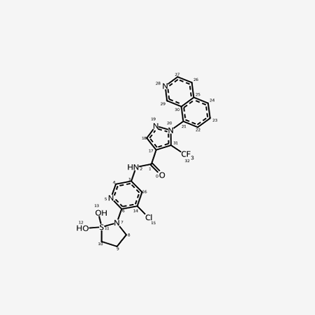 O=C(Nc1cnc(N2CCCS2(O)O)c(Cl)c1)c1cnn(-c2cccc3ccncc23)c1C(F)(F)F